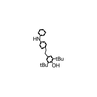 CC(C)(C)c1cc(CCc2ccc(Nc3ccccc3)cc2)cc(C(C)(C)C)c1O